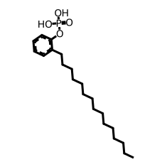 CCCCCCCCCCCCCCCc1ccccc1OP(=O)(O)O